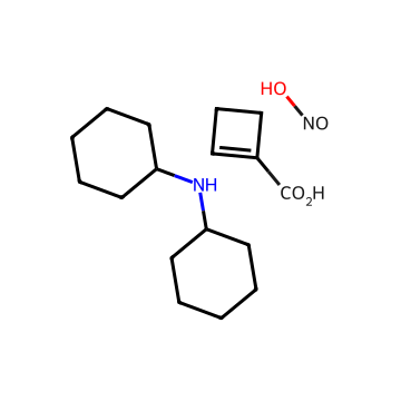 C1CCC(NC2CCCCC2)CC1.O=C(O)C1=CCC1.O=NO